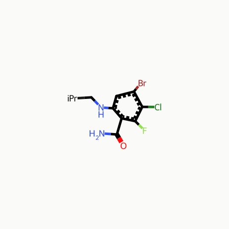 CC(C)CNc1cc(Br)c(Cl)c(F)c1C(N)=O